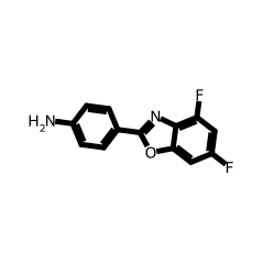 Nc1ccc(-c2nc3c(F)cc(F)cc3o2)cc1